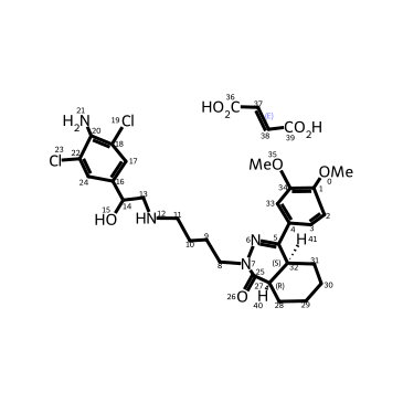 COc1ccc(C2=NN(CCCCNCC(O)c3cc(Cl)c(N)c(Cl)c3)C(=O)[C@@H]3CCCC[C@H]23)cc1OC.O=C(O)/C=C/C(=O)O